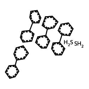 S.S.c1ccc(-c2ccccc2)cc1.c1ccc(-c2ccccc2)cc1.c1ccc(-c2ccccc2)cc1.c1ccc(-c2ccccc2)cc1